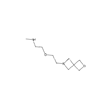 CNCCOCCN1CC2(COC2)C1